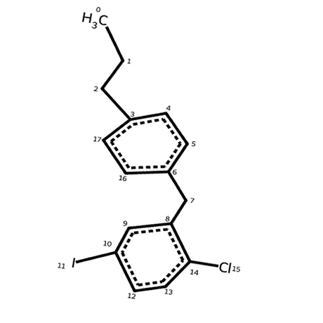 CCCc1ccc(Cc2cc(I)ccc2Cl)cc1